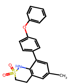 Cc1cc2c(c(-c3ccc(Oc4ccccc4)cc3)c1)NS(=O)(=O)CC2